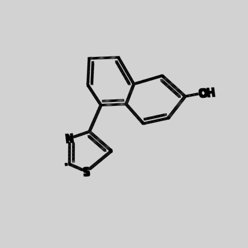 Oc1ccc2c(-c3cs[c]n3)cccc2c1